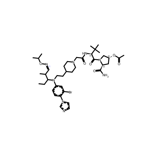 CCC(C(C)/C=N\OC(C)C)N(CCC1CCN(CC(=O)N[C@H](C(=O)N2C[C@H](OC(C)=O)C[C@H]2C(N)=O)C(C)(C)C)CC1)c1ccc(-n2ccnc2)c(Br)c1